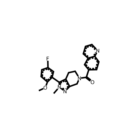 COc1ccc(F)cc1-c1c2c(nn1C)CN(C(=O)c1ccc3ncccc3c1)CC2